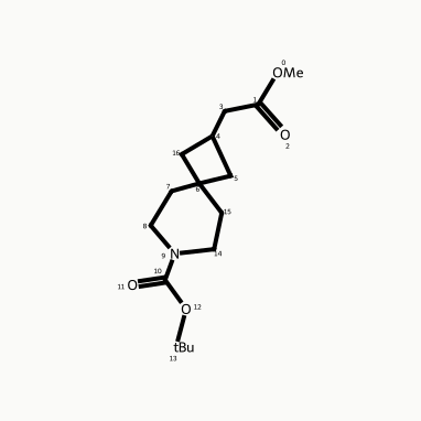 COC(=O)CC1CC2(CCN(C(=O)OC(C)(C)C)CC2)C1